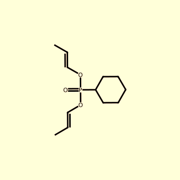 CC=COP(=O)(OC=CC)C1CCCCC1